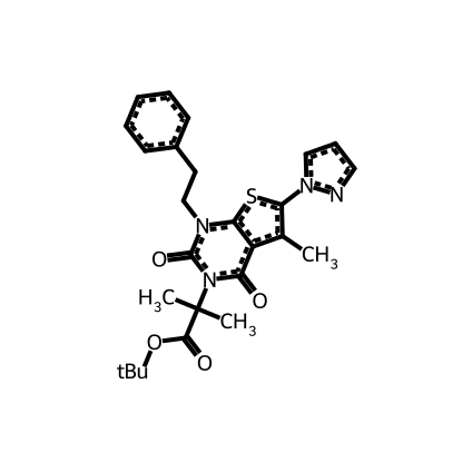 Cc1c(-n2cccn2)sc2c1c(=O)n(C(C)(C)C(=O)OC(C)(C)C)c(=O)n2CCc1ccccc1